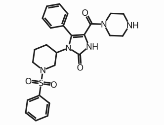 O=C(c1[nH]c(=O)n(C2CCCN(S(=O)(=O)c3ccccc3)C2)c1-c1ccccc1)N1CCNCC1